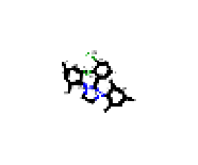 Cc1cc(C)c(N2CCN(c3c(C)cc(C)cc3C)C2=C2C=CC=C(Cl)C2Cl)c(C)c1